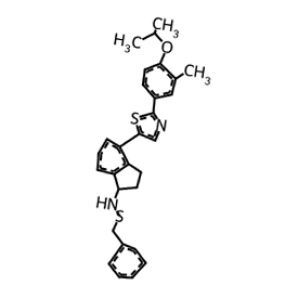 Cc1cc(-c2ncc(-c3cccc4c3CCC4NSCc3ccccc3)s2)ccc1OC(C)C